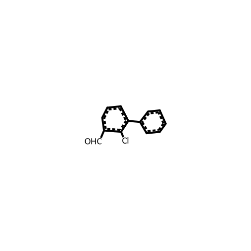 O=Cc1cccc(-c2ccccc2)c1Cl